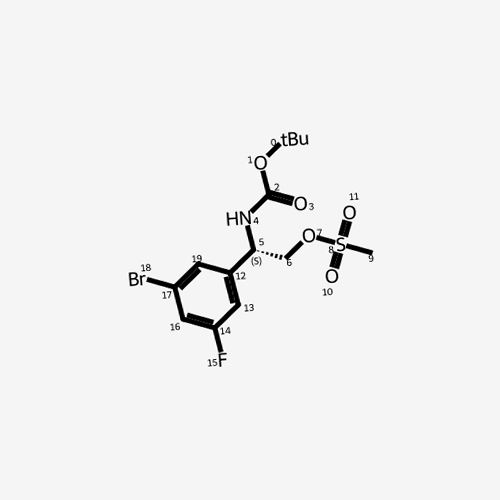 CC(C)(C)OC(=O)N[C@H](COS(C)(=O)=O)c1cc(F)cc(Br)c1